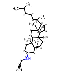 C#CCN[C@H]1CC[C@@]2(C)C(=CC[C@H]3[C@@H]4CC[C@H]([C@H](C)CCCC(C)C)[C@@]4(C)CC[C@@H]32)C1